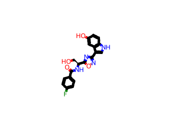 O=C(N[C@@H](CO)c1nc(-c2c[nH]c3ccc(O)cc23)no1)c1ccc(F)cc1